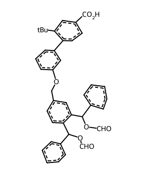 CC(C)(C)c1cc(C(=O)O)ccc1-c1cccc(OCc2ccc(C(OC=O)c3ccccc3)c(C(OC=O)c3ccccc3)c2)c1